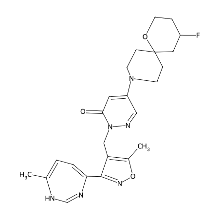 CC1=CC=C(c2noc(C)c2Cn2ncc(N3CCC4(CC3)CC(F)CCO4)cc2=O)N=CN1